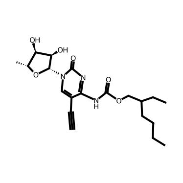 C#Cc1cn([C@@H]2O[C@H](C)[C@@H](O)[C@H]2O)c(=O)nc1NC(=O)OCC(CC)CCCC